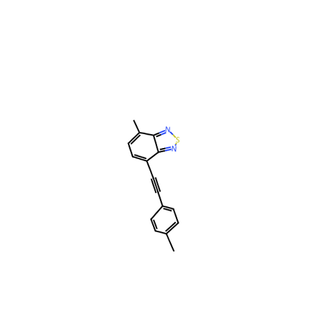 Cc1ccc(C#Cc2ccc(C)c3nsnc23)cc1